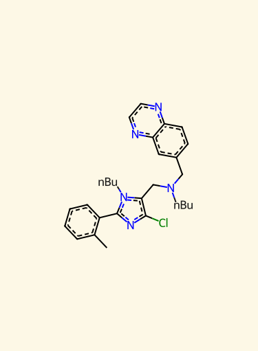 CCCCN(Cc1ccc2nccnc2c1)Cc1c(Cl)nc(-c2ccccc2C)n1CCCC